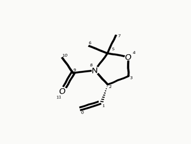 C=C[C@H]1COC(C)(C)N1C(C)=O